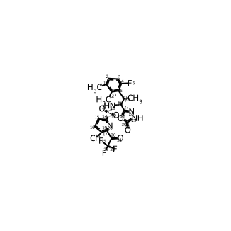 Cc1ccc(F)c([C@@H](C)[C@H](NS(=O)(=O)c2ccc(Cl)c(C(=O)C(F)(F)F)n2)c2n[nH]c(=O)o2)c1C